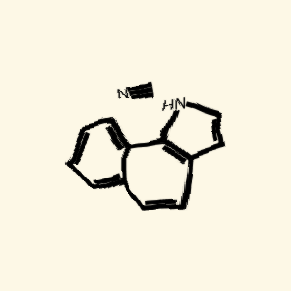 C#N.c1ccc2c(c1)ccc1cc[nH]c12